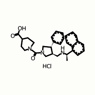 C[C@@H](NC[C@H]1CN(C(=O)N2CCC(C(=O)O)CC2)C[C@@H]1c1ccccc1)c1cccc2ccccc12.Cl